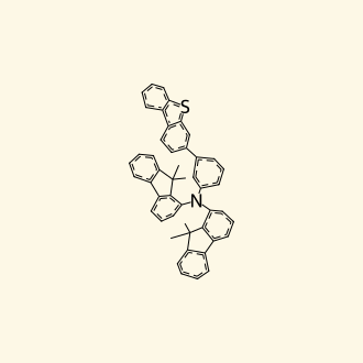 CC1(C)c2ccccc2-c2cccc(N(c3cccc(-c4ccc5c(c4)sc4ccccc45)c3)c3cccc4c3C(C)(C)c3ccccc3-4)c21